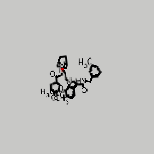 Cc1cccc(CNC(=O)c2cn(CCCN3C4CCC3CN(CC(=O)c3ccc(Cl)c(Cl)c3)C4)c3c(OC(C)C)cccc23)c1